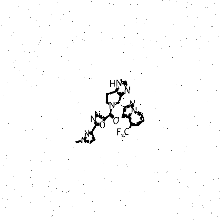 Cn1ccc(-c2nnc(C(=O)N3CCc4[nH]cnc4[C@@H]3c3cc4c(C(F)(F)F)cccn4n3)o2)n1